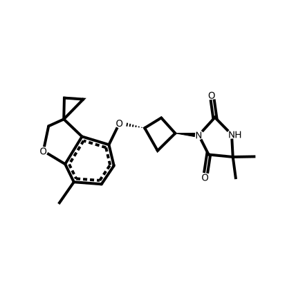 Cc1ccc(O[C@H]2C[C@H](N3C(=O)NC(C)(C)C3=O)C2)c2c1OCC21CC1